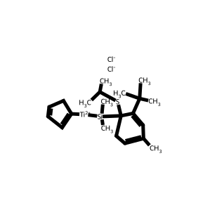 CC1=CCC(SC(C)C)([Si](C)(C)[Ti+2][C]2=CC=CC2)C(C(C)(C)C)=C1.[Cl-].[Cl-]